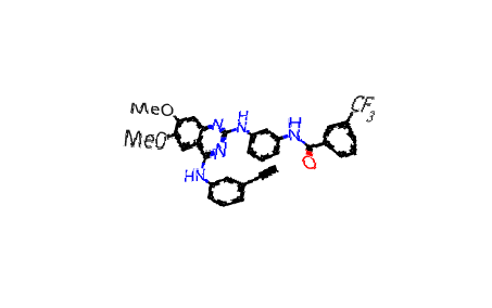 C#Cc1cccc(Nc2nc(Nc3cccc(NC(=O)c4cccc(C(F)(F)F)c4)c3)nc3cc(OC)c(OC)cc23)c1